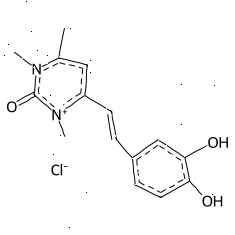 Cc1cc(C=Cc2ccc(O)c(O)c2)[n+](C)c(=O)n1C.[Cl-]